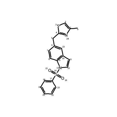 Cc1csc(Cc2ccc3c(ccn3S(=O)(=O)c3ccccc3)c2)n1